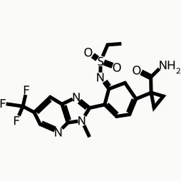 CCS(=O)(=O)N=C1CC(C2(C(N)=O)CC2)=CC=C1c1nc2cc(C(F)(F)F)cnc2n1C